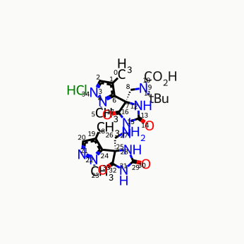 Cc1cnn(C)c1[C@@]1(CN(C(=O)O)C(C)(C)C)NC(=O)NC1=O.Cc1cnn(C)c1[C@@]1(CN)NC(=O)NC1=O.Cl